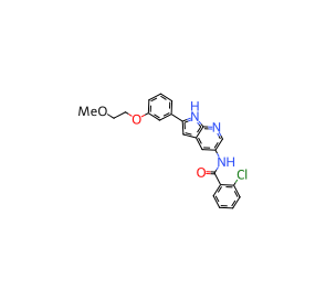 COCCOc1cccc(-c2cc3cc(NC(=O)c4ccccc4Cl)cnc3[nH]2)c1